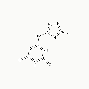 Cn1nnc(Nc2cc(=O)[nH]c(=O)[nH]2)n1